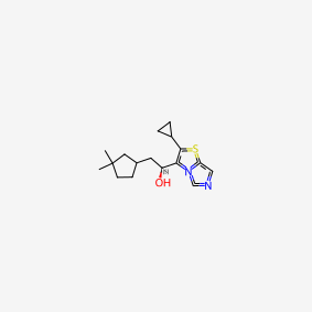 CC1(C)CCC(C[C@H](O)c2c(C3CC3)sc3cncn23)C1